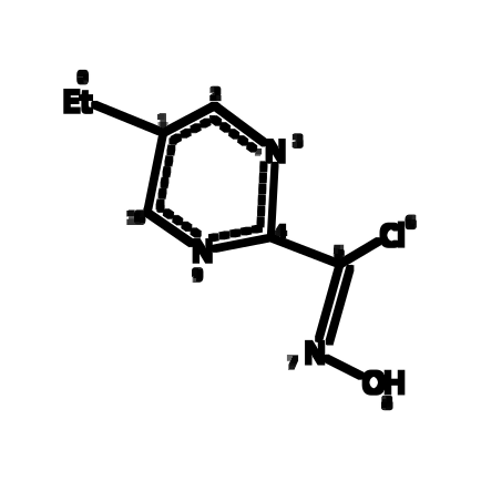 CCc1cnc(C(Cl)=NO)nc1